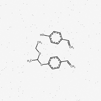 C=Cc1ccc(O)cc1.C=Cc1ccc(OC(C)OCC)cc1